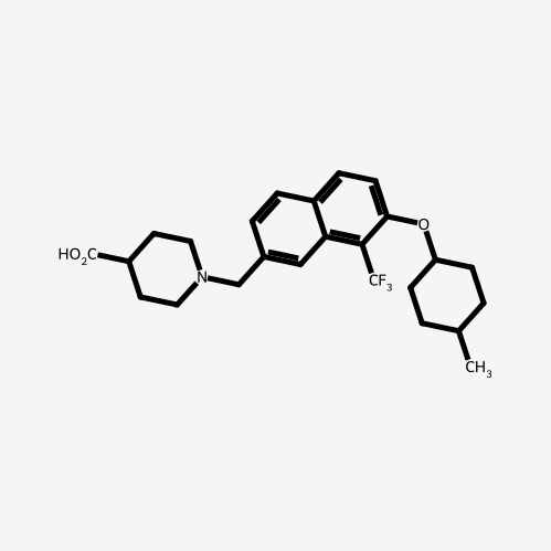 CC1CCC(Oc2ccc3ccc(CN4CCC(C(=O)O)CC4)cc3c2C(F)(F)F)CC1